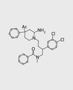 CC(=O)C1(c2ccccc2)CCN(CCC(CN(C)C(=O)c2ccccc2)c2ccc(Cl)c(Cl)c2)C(N)C1